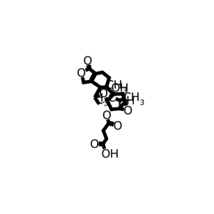 CC(C)[C@]12O[C@H]1C[C@@]1(O)[C@@]3(C)CCC4=C(COC4=O)C3C3C[C@@]1(O3)[C@@H]2OC(=O)CCC(=O)O